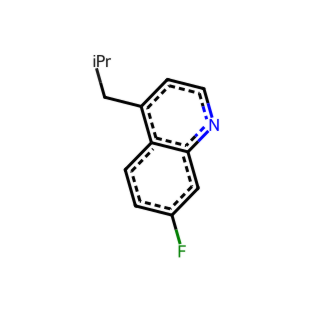 CC(C)Cc1ccnc2cc(F)ccc12